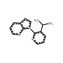 CC(C)c1cccnc1-n1ccc2cccnc21